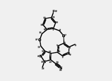 Cc1ncc2cc1OCc1cc(F)ccc1COCc1nn(C)c(C#N)c1-2